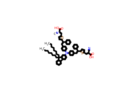 [C-]#[N+]/C(=C\c1ccc(/C(=C/c2ccc(N(c3ccc(/C=C(\c4ccccc4)c4ccc(/C=C(\C#N)C(=O)O)s4)cc3)c3ccc4c(c3)C(CCCCCCCC)(CCCCCCCC)c3ccccc3-4)cc2)c2ccccc2)s1)C(=O)O